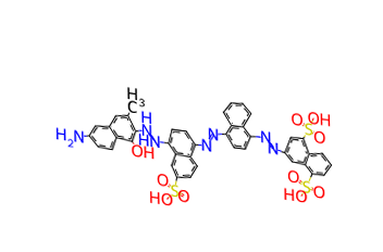 Cc1cc2cc(N)ccc2c(O)c1NNc1ccc(N=Nc2ccc(N=Nc3cc(S(=O)(=O)O)c4cccc(S(=O)(=O)O)c4c3)c3ccccc23)c2ccc(S(=O)(=O)O)cc12